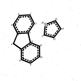 c1ccc2c(c1)Cc1ccccc1-2.c1ccsc1